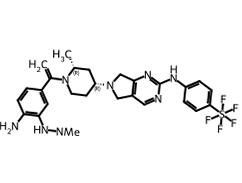 C=C(c1ccc(N)c(NNC)c1)N1CC[C@@H](N2Cc3cnc(Nc4ccc(S(F)(F)(F)(F)F)cc4)nc3C2)C[C@H]1C